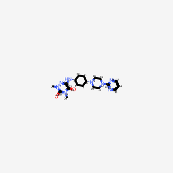 Cn1nc(N[C@H]2CC[C@@H](N3CCN(c4ncccn4)CC3)CC2)c(=O)n(C)c1=O